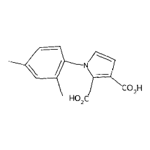 Cc1ccc(-n2ccc(C(=O)O)c2C(=O)O)c(C)c1